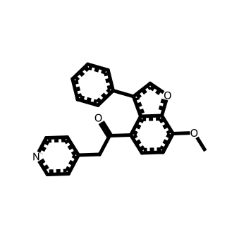 COc1ccc(C(=O)Cc2ccncc2)c2c(-c3ccccc3)coc12